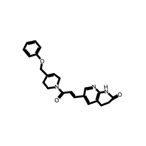 O=C1CCc2cc(C=CC(=O)N3CC=C(COc4ccccc4)CC3)cnc2N1